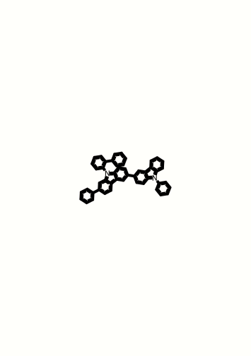 c1ccc(-c2ccc3c4cc(-c5ccc6c(c5)c5ccccc5n6-c5ccccc5)ccc4n(-c4ccccc4-c4ccccc4)c3c2)cc1